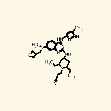 CCC1CC(Nc2nc(Nc3cc(C)[nH]n3)c3ccc(N(C)CC4COC4)cc3n2)CC(CC)N1CCC#N